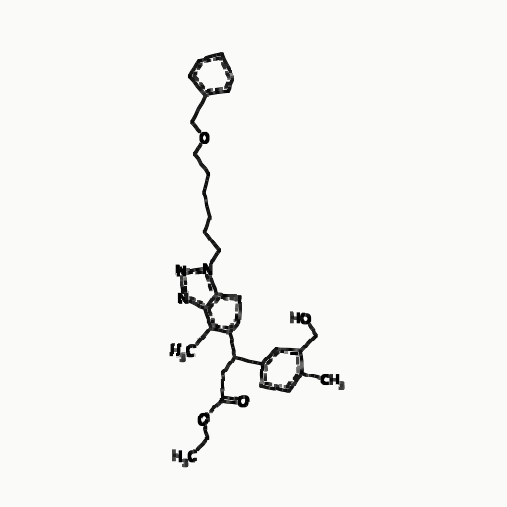 CCOC(=O)CC(c1ccc(C)c(CO)c1)c1ccc2c(nnn2CCCCCCOCc2ccccc2)c1C